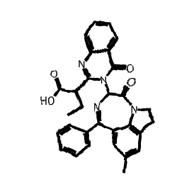 CCC(C(=O)O)c1nc2ccccc2c(=O)n1C1N=C(c2ccccc2)c2cc(C)cc3c2N(CC3)C1=O